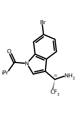 CC(C)C(=O)n1cc([C@H](N)C(F)(F)F)c2ccc(Br)cc21